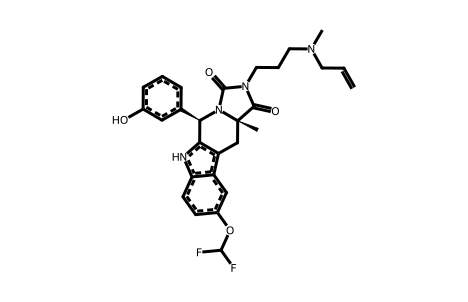 C=CCN(C)CCCN1C(=O)N2[C@H](c3cccc(O)c3)c3[nH]c4ccc(OC(F)F)cc4c3C[C@@]2(C)C1=O